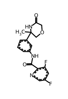 CC1(c2cccc(NC(=O)c3ncc(F)cc3F)c2)COCC(=O)N1